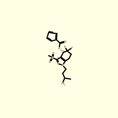 CC(CCn1nc(S(C)(=O)=O)c2c1CCC(F)(F)[C@H]2OC(=O)c1ccccc1)C(F)(F)F